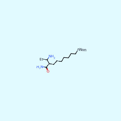 CCCCCCCCCCCCCCCCC(C(N)=O)C(N)CC